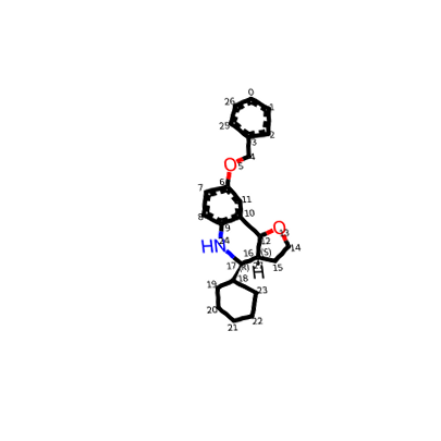 c1ccc(COc2ccc3c(c2)C2OCC[C@H]2[C@@H](C2CCCCC2)N3)cc1